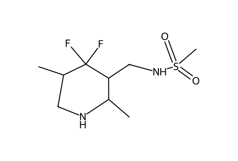 CC1NCC(C)C(F)(F)C1CNS(C)(=O)=O